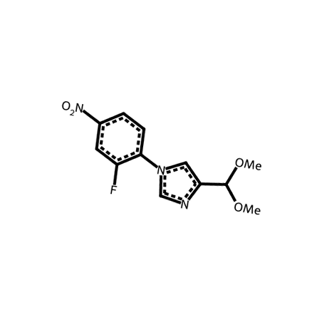 COC(OC)c1cn(-c2ccc([N+](=O)[O-])cc2F)cn1